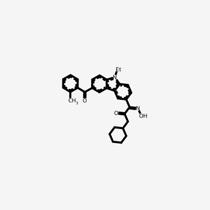 CCn1c2ccc(C(=O)c3ccccc3C)cc2c2cc(C(=NO)C(=O)CC3CCCCC3)ccc21